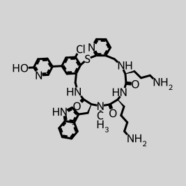 CN1C(=O)[C@H](CCCCN)NC(=O)[C@H](CCCN)NCc2cccnc2Sc2c(Cl)cc(-c3ccc(O)nc3)cc2CNC(=O)[C@@H]1Cc1c[nH]c2ccccc12